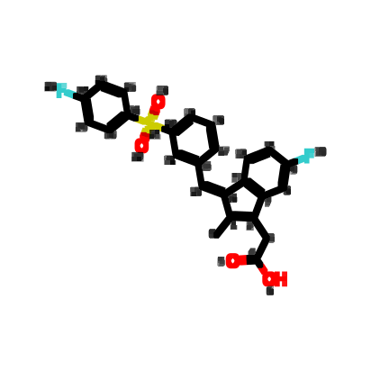 CC1=C(CC(=O)O)c2cc(F)ccc2/C1=C\c1cccc(S(=O)(=O)c2ccc(F)cc2)c1